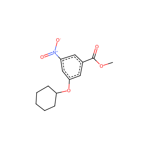 COC(=O)c1cc(OC2CCCCC2)cc([N+](=O)[O-])c1